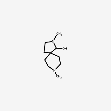 CN1CCC2(CC1)CCN(C)C2O